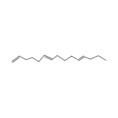 C=CCCCC=CCCCC=CCCC